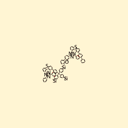 C[Si](C)(C)c1ccc(C(c2ccc(-c3ccc4sc5cccc(-c6nc(-c7ccccc7)nc(-c7ccccc7)n6)c5c4c3)cc2)(c2ccc([Si](C)(C)C)cc2)c2ccc([Si](C)(C)Cc3cccc4c3oc3cc(-c5nc(-c6ccccc6)nc(-c6cccc7sc8ccc(-c9ccc(-c%10ccccc%10)cc9)cc8c67)n5)ccc34)cc2)cc1